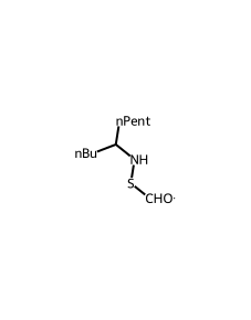 CCCCCC(CCCC)NS[C]=O